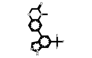 CN1C(=O)COc2ccc(-c3cc(C(F)(F)F)cc4[nH]ncc34)cc21